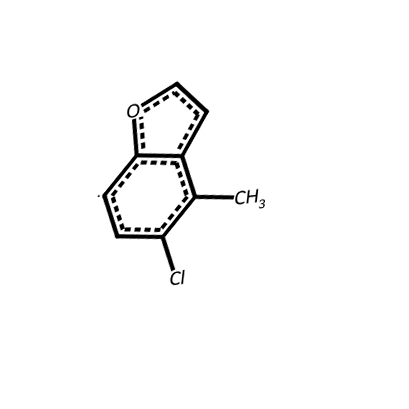 Cc1c(Cl)c[c]c2occc12